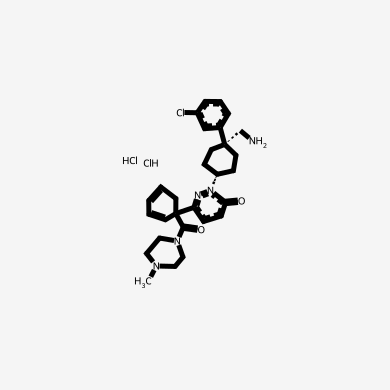 CN1CCN(C(=O)C2(c3ccc(=O)n([C@H]4CC[C@](CN)(c5cccc(Cl)c5)CC4)n3)C=CC=CC2)CC1.Cl.Cl